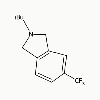 CCC(C)N1Cc2ccc(C(F)(F)F)cc2C1